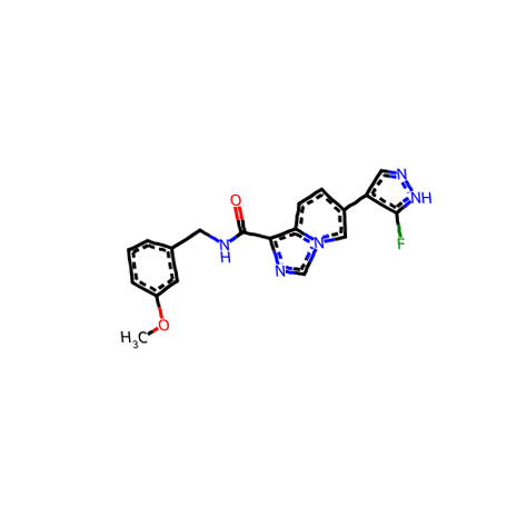 COc1cccc(CNC(=O)c2ncn3cc(-c4cn[nH]c4F)ccc23)c1